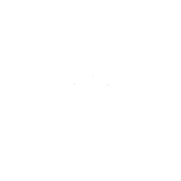 Ic1ncnc2ncccc12